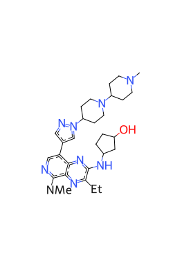 CCc1nc2c(NC)ncc(-c3cnn(C4CCN(C5CCN(C)CC5)CC4)c3)c2nc1NC1CCC(O)C1